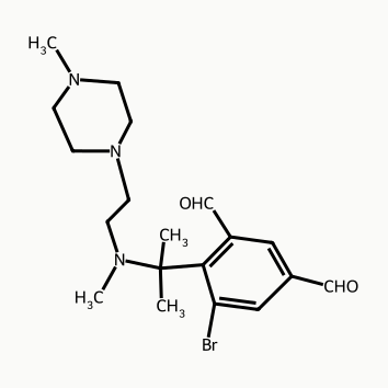 CN1CCN(CCN(C)C(C)(C)c2c(Br)cc(C=O)cc2C=O)CC1